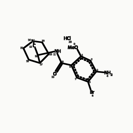 COc1cc(N)c(Br)cc1C(=O)NC1CN2CCC1CC2.Cl